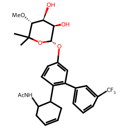 CO[C@@H]1[C@@H](O)[C@@H](O)[C@H](Oc2ccc(C3CC=CCC3NC(C)=O)c(-c3cccc(C(F)(F)F)c3)c2)OC1(C)C